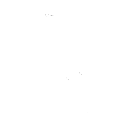 COc1ccc(Cn2cc(C)c(S([O])=O)n2)cc1